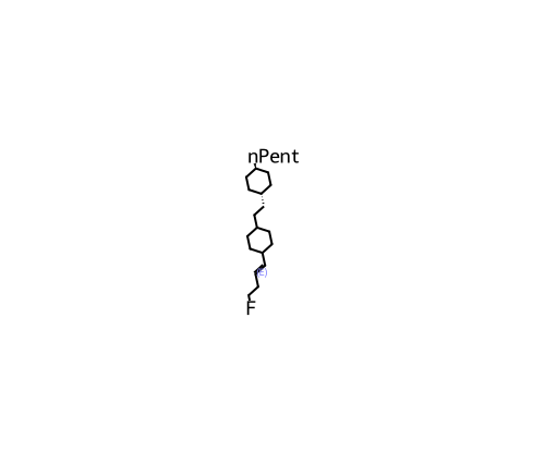 CCCCC[C@H]1CC[C@H](CCC2CCC(/C=C/CCF)CC2)CC1